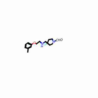 Cc1cccc(OCCNCC2(F)CCN(C=O)CC2)c1